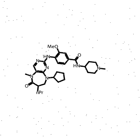 CCCC1CN(C2CCCC2)c2nc(Nc3ccc(C(=O)NC4CCN(C)CC4)cc3OC)ncc2N(C)C1=O